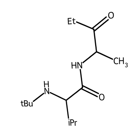 CCC(=O)C(C)NC(=O)C(NC(C)(C)C)C(C)C